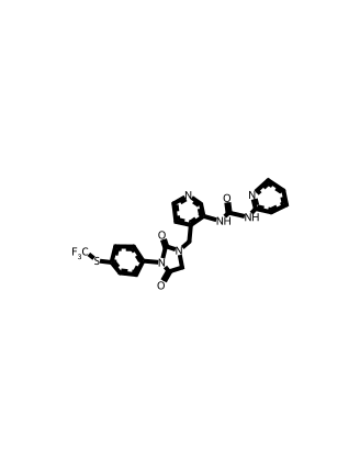 O=C(Nc1ccccn1)Nc1cnccc1CN1CC(=O)N(c2ccc(SC(F)(F)F)cc2)C1=O